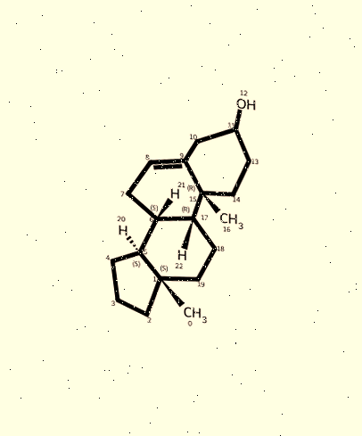 C[C@@]12CCC[C@H]1[C@@H]1CC=C3CC(O)CC[C@]3(C)[C@@H]1CC2